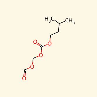 CC(C)CCOC(=O)OCO[C]=O